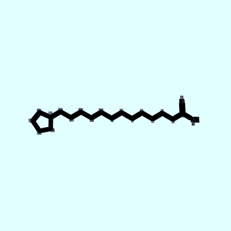 O=C(O)CCCCCCCCCCCCC1CCCC1